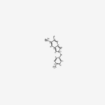 Cc1cc2nn(Cc3ccc(Cl)cc3)cc2cc1Br